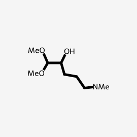 CNCCCC(O)C(OC)OC